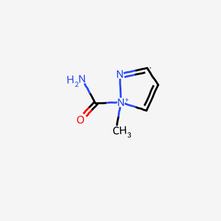 C[N+]1(C(N)=O)C=C[C]=N1